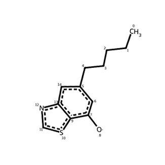 CCCCCc1cc([O])c2scnc2c1